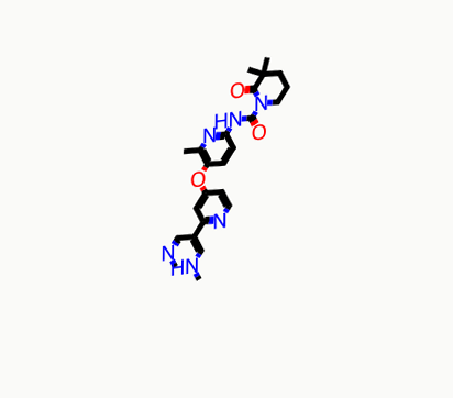 C/N=C\C(=C/NC)c1cc(Oc2ccc(NC(=O)N3CCCC(C)(C)C3=O)nc2C)ccn1